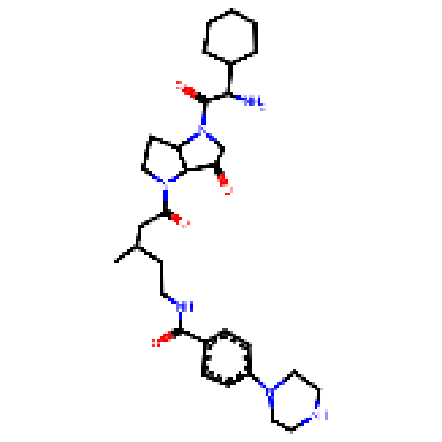 CC(CCNC(=O)c1ccc(N2CCNCC2)cc1)CC(=O)N1CCC2C1C(=O)CN2C(=O)C(N)C1CCCCC1